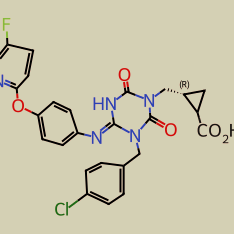 O=C(O)C1C[C@H]1Cn1c(=O)[nH]c(=Nc2ccc(Oc3ccc(F)cn3)cc2)n(Cc2ccc(Cl)cc2)c1=O